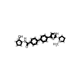 CN1CCC[C@H]1c1nc(-c2ccc(-c3ccc(C(=O)N[C@@H]4CCC[C@H]4O)cc3)cc2)c[nH]1